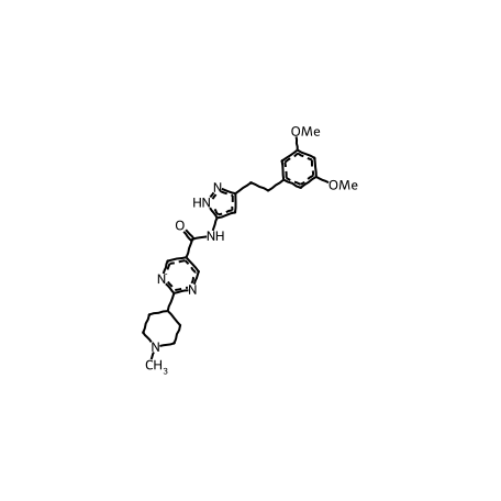 COc1cc(CCc2cc(NC(=O)c3cnc(C4CCN(C)CC4)nc3)[nH]n2)cc(OC)c1